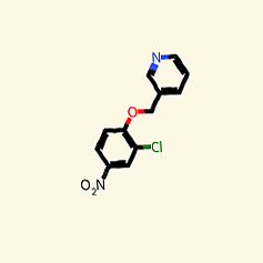 O=[N+]([O-])c1ccc(OCc2cccnc2)c(Cl)c1